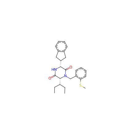 CCC(CC)[C@@H]1C(=O)N[C@H](C2Cc3ccccc3C2)C(=O)N1Cc1ccccc1SC